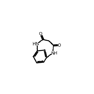 O=C1CC(=O)Nc2cccc(c2)N1